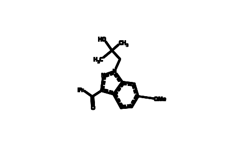 COc1ccc2c(C(=O)C(C)C)nn(CC(C)(C)O)c2c1